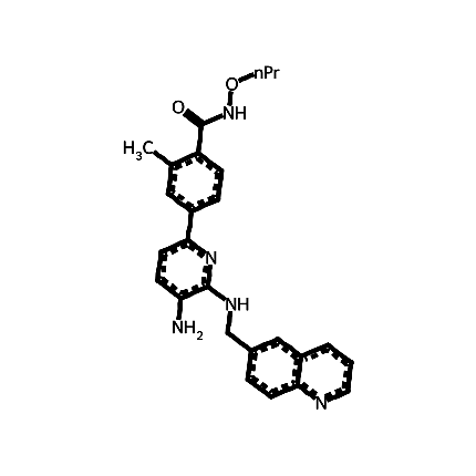 CCCONC(=O)c1ccc(-c2ccc(N)c(NCc3ccc4ncccc4c3)n2)cc1C